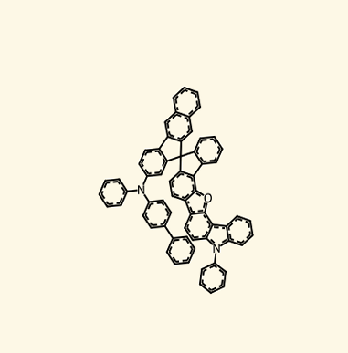 c1ccc(-c2ccc(N(c3ccccc3)c3ccc4c(c3)C3(c5cc6ccccc6cc5-4)c4ccccc4-c4c3ccc3c4oc4c3ccc3c4c4ccccc4n3-c3ccccc3)cc2)cc1